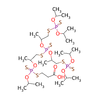 CC(C)OP(=S)(OC(C)C)SCC(C)OP(=S)(OC(C)CSP(=S)(OC(C)C)OC(C)C)SCC(C)OP(=S)(OC(C)C)SCCC(=O)O